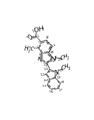 Cc1c(C(=O)O)ccc2c1nc(-c1cc3ccccc3n1C)n2C